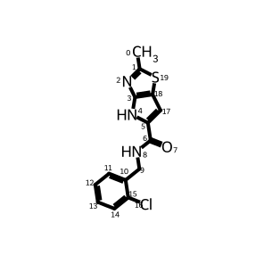 Cc1nc2[nH]c(C(=O)NCc3ccccc3Cl)cc2s1